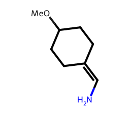 COC1CCC(=CN)CC1